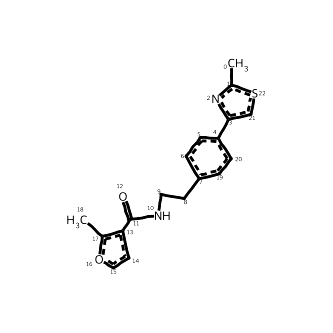 Cc1nc(-c2ccc(CCNC(=O)c3ccoc3C)cc2)cs1